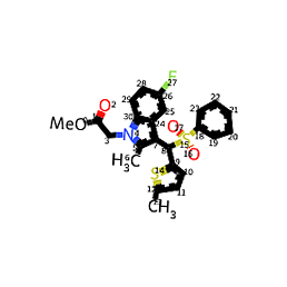 COC(=O)Cn1c(C)c(C(c2ccc(C)s2)S(=O)(=O)c2ccccc2)c2cc(F)ccc21